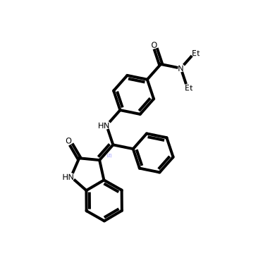 CCN(CC)C(=O)c1ccc(N/C(=C2\C(=O)Nc3ccccc32)c2ccccc2)cc1